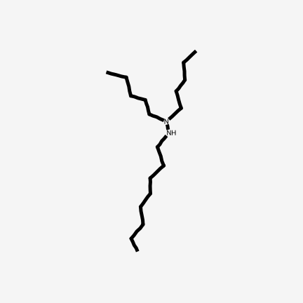 CCCCCCCCNN(CCCCC)CCCCC